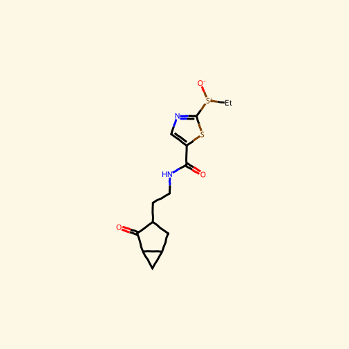 CC[S+]([O-])c1ncc(C(=O)NCCC2CC3CC3C2=O)s1